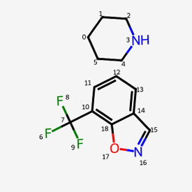 C1CCNCC1.FC(F)(F)c1cccc2cnoc12